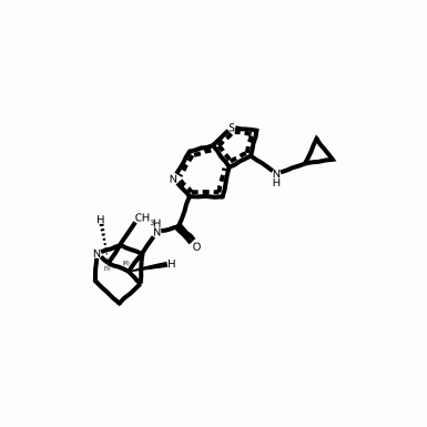 C[C@H]1[C@H](NC(=O)c2cc3c(NC4CC4)csc3cn2)C2CCN1CC2